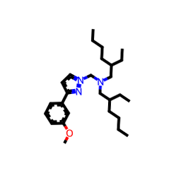 CCCCC(CC)CN(CC(CC)CCCC)Cn1ccc(-c2cccc(OC)c2)n1